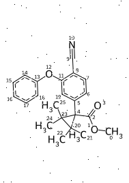 COC(=O)C1(c2ccc(C#N)c(Oc3ccccc3)c2)C(C)(C)C1(C)C